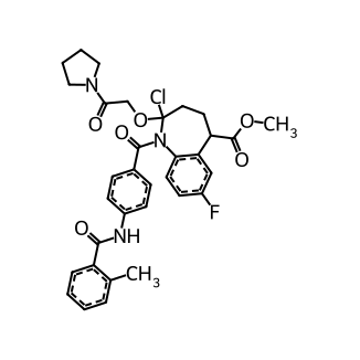 COC(=O)C1CCC(Cl)(OCC(=O)N2CCCC2)N(C(=O)c2ccc(NC(=O)c3ccccc3C)cc2)c2ccc(F)cc21